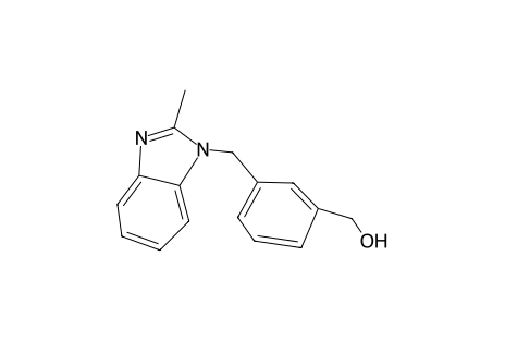 Cc1nc2ccccc2n1Cc1cccc(CO)c1